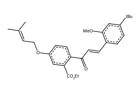 CCOC(=O)c1cc(OCC=C(C)C)ccc1C(=O)C=Cc1ccc(C(C)(C)C)cc1OC